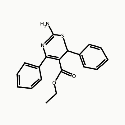 CCOC(=O)C1=C(c2ccccc2)N=C(N)SC1c1ccccc1